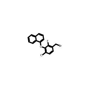 Fc1c(CBr)ccc(Cl)c1Oc1cccc2ccccc12